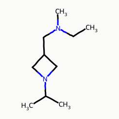 CCN(C)CC1CN(C(C)C)C1